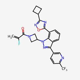 C=C(F)C(=O)N1CC(n2nc(-c3ccc(C(F)(F)F)nc3)c3cccc(-c4nc(C5CCC5)no4)c32)C1